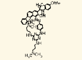 COc1ccc(NC(=O)c2cc3ccc4c5ccccc5[nH]c4c3c(N=Nc3ccc(Nc4nc(NCCCN(C)C)nc(NCCCN(C)C)n4)cc3)c2O)c(C)c1